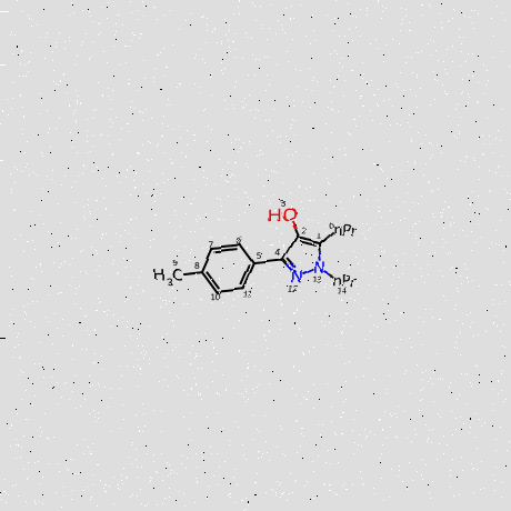 CCCc1c(O)c(-c2ccc(C)cc2)nn1CCC